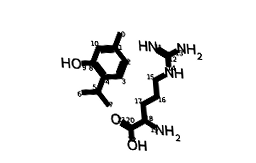 Cc1ccc(C(C)C)c(O)c1.N=C(N)NCCCC(N)C(=O)O